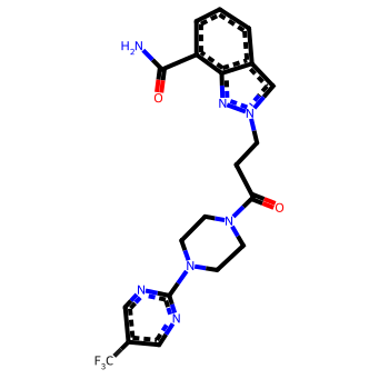 NC(=O)c1cccc2cn(CCC(=O)N3CCN(c4ncc(C(F)(F)F)cn4)CC3)nc12